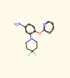 Nc1ccc(Oc2ccccn2)c(N2CCC(F)(F)CC2)c1